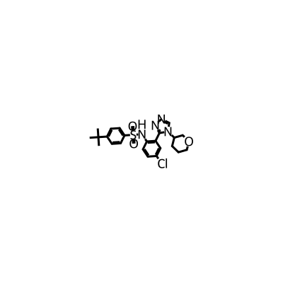 CC(C)(C)c1ccc(S(=O)(=O)Nc2ccc(Cl)cc2-c2nncn2C2CCCOC2)cc1